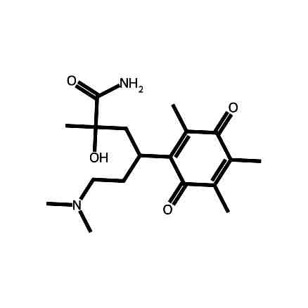 CC1=C(C)C(=O)C(C(CCN(C)C)CC(C)(O)C(N)=O)=C(C)C1=O